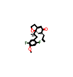 C=CC[C@H]1C[C@]2([C@H](C)Cc3cc(F)c(OC)cc3F)OCCC2=CC1=O